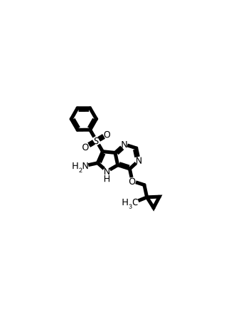 CC1(COc2ncnc3c(S(=O)(=O)c4ccccc4)c(N)[nH]c23)CC1